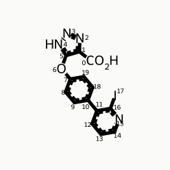 O=C(O)c1nn[nH]c1Oc1ccc(-c2cccnc2I)cc1